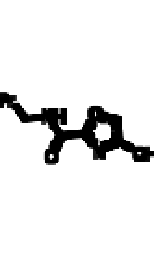 CC(C)CNC(=O)c1nc(O)co1